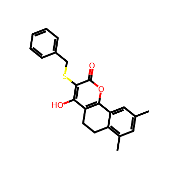 Cc1cc(C)c2c(c1)-c1oc(=O)c(SCc3ccccc3)c(O)c1CC2